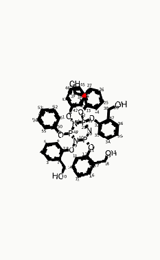 OCc1ccccc1ON1P(Oc2ccccc2CO)N=P(Oc2ccccc2CO)(Oc2ccccc2CO)N(Oc2ccccc2)P1Oc1ccccc1